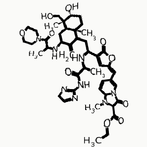 C=C1C(NC(C)C(=O)N2CCOCC2)CC2[C@](C)(CC[C@@H](O)[C@@]2(C)CO)C1CC(NC(C)C(=O)NC1=NCC=N1)C1=C/C(=C\C2=CN3C(=O)C(C(=O)OCC)N(C)C3C=C2)OC1=O